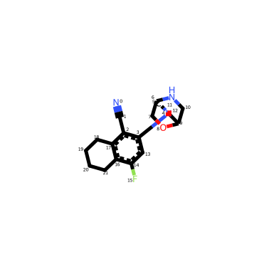 N#Cc1c(N2CC3COC(CN3)C2)cc(F)c2c1CCCC2